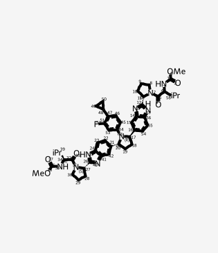 COC(=O)NC(C(=O)N1CCC[C@H]1c1nc2cc([C@H]3CC[C@H](c4ccc5[nH]c([C@@H]6CCCN6C(=O)[C@@H](NC(=O)OC)C(C)C)nc5c4)N3c3ccc(C4CC4)c(F)c3)ccc2[nH]1)C(C)C